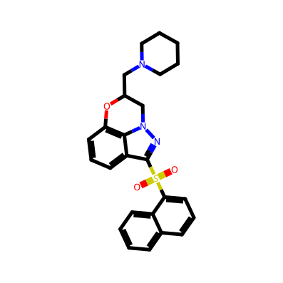 O=S(=O)(c1cccc2ccccc12)c1nn2c3c(cccc13)OC(CN1CCCCC1)C2